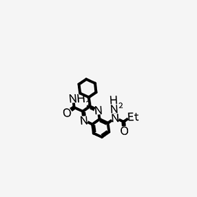 CCC(=O)N(N)c1cccc2nc(C(N)=O)c(C3CCCCC3)nc12